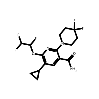 NC(=O)c1cc(C2CC2)c(OC(F)C(F)F)nc1N1CCC(F)(F)CC1